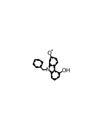 COc1ccc2c3c(O)cccc3n(Cc3ccccc3)c2c1